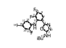 CCC(C)Nc1nnc(-c2ccc(F)c(F)c2Nc2ccc(I)cc2F)o1